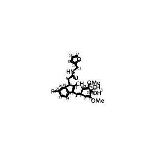 COC1=CC(=CC2=C(C)C(CC(=O)NCc3ccco3)c3cc(F)ccc32)C=C(OC)C1(C)O